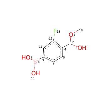 COC(O)c1ccc(B(O)O)cc1F